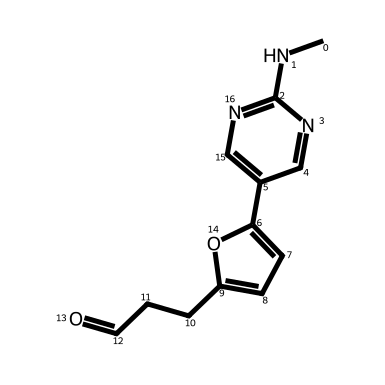 CNc1ncc(-c2ccc(CCC=O)o2)cn1